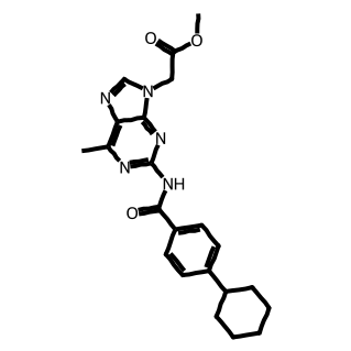 COC(=O)Cn1cnc2c(C)nc(NC(=O)c3ccc(C4CCCCC4)cc3)nc21